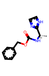 C[C@H](NC(=O)OCc1ccccc1)c1ncc[nH]1